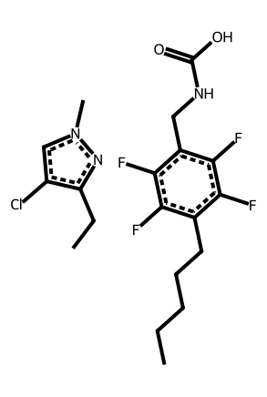 CCCCCc1c(F)c(F)c(CNC(=O)O)c(F)c1F.CCc1nn(C)cc1Cl